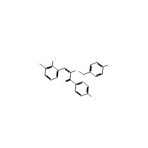 O=C(/C(=C\c1cccc(Cl)c1Cl)SCc1ccc(Cl)cc1)c1ccc(Cl)cc1